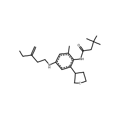 C=C(CC)CCNc1cc(C)c(NC(=O)CC(C)(C)C)c(C2CCCC2)c1